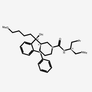 CNC[C@H](CC(C)C)NC(=O)N1CCC[C@@H]([C@@](O)(CCCCOC)c2ccccc2Oc2ccccc2)C1